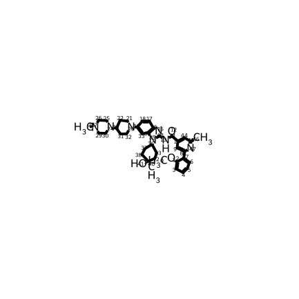 COc1ccccc1-c1cc(C(=O)Nc2nc3ccc(N4CCC(N5CCN(C)CC5)CC4)cc3n2C2CCC(C)(O)CC2)cc(C)n1